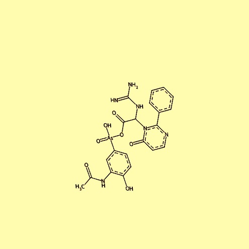 CC(=O)Nc1cc([As](=O)(O)OC(=O)C(NC(=N)N)n2c(-c3ccccc3)nccc2=O)ccc1O